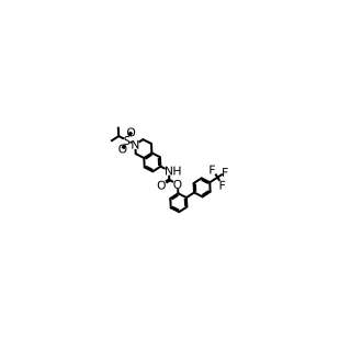 CC(C)S(=O)(=O)N1CCc2cc(NC(=O)Oc3ccccc3-c3ccc(C(F)(F)F)cc3)ccc2C1